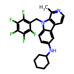 Cc1nccc2c3cc(NC4CCCCC4)ccc3n(Cc3c(F)c(F)c(F)c(F)c3F)c12